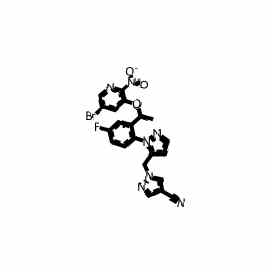 CC(Oc1cc(Br)cnc1[N+](=O)[O-])c1cc(F)ccc1-n1nccc1Cn1cc(C#N)cn1